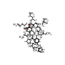 CCC(=O)N[C@@H](Cc1ccc(O)cc1)C(=O)N[C@@H](CCC(N)=O)C(=O)N[C@@H](CCCCN)C(=O)N[C@@H](CCCCN)C(=O)N[C@@H](CC(C)C)C(=O)N[C@@H](CCCCC(=N)N)C(=O)N1CCC[C@H]1C(=O)N[C@H](C)Cc1c[nH]cn1